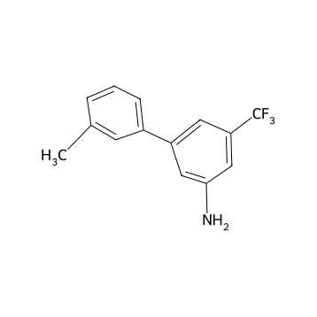 Cc1cccc(-c2cc(N)cc(C(F)(F)F)c2)c1